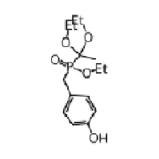 CCOC(C)(OCC)P(=O)(Cc1ccc(O)cc1)OCC